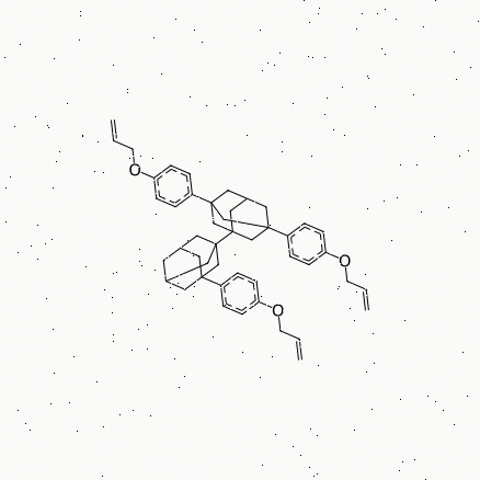 C=CCOc1ccc(C23CC4CC(C2)CC(C25CC6CC(c7ccc(OCC=C)cc7)(CC(c7ccc(OCC=C)cc7)(C6)C2)C5)(C4)C3)cc1